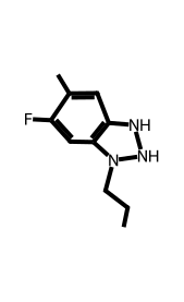 CCCN1NNc2cc(C)c(F)cc21